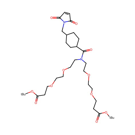 CC(C)(C)OC(=O)CCOCCOCCN(CCOCCOCCC(=O)OC(C)(C)C)C(=O)C1CCC(CN2C(=O)C=CC2=O)CC1